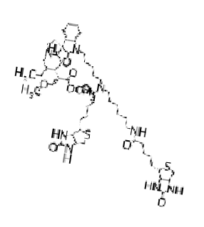 CC[C@H]1CN2CC[C@]3(C(=O)N(CCCCCN(CCCCCCNC(=O)CCCC[C@@H]4SCC5NC(=O)NC54)C(=O)CCCC[C@@H]4SCC5NC(=O)NC54)c4ccccc43)[C@@H]2C[C@@H]1/C(=C\OC)C(=O)OC